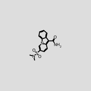 CN(C)S(=O)(=O)c1ccc2c(C(N)=O)c3ccccc3n2c1